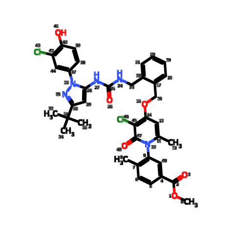 COC(=O)c1ccc(C)c(-n2c(C)cc(OCc3ccccc3CNC(=O)Nc3cc(C(C)(C)C)nn3-c3ccc(O)c(Cl)c3)c(Cl)c2=O)c1